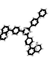 C1=CC(c2nc(-c3ccc(-c4ccccc4)cc3)nc(-c3ccc(-c4cccc5cccnc45)cc3)n2)CC=C1c1cccc2c1NCCC2